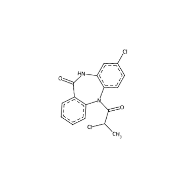 CC(Cl)C(=O)N1c2ccc(Cl)cc2NC(=O)c2ccccc21